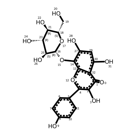 O=c1c(O)c(-c2ccc(O)cc2)oc2c(O[C@H]3O[C@@H](CO)[C@H](O)[C@@H](O)[C@@H]3O)c(O)cc(O)c12